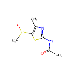 CC(=O)Nc1nc(C)c([S+](C)[O-])s1